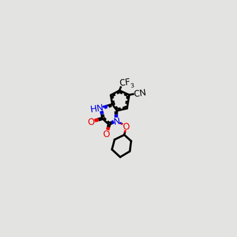 N#Cc1cc2c(cc1C(F)(F)F)[nH]c(=O)c(=O)n2OC1CCCCC1